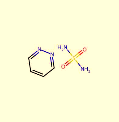 NS(N)(=O)=O.c1ccnnc1